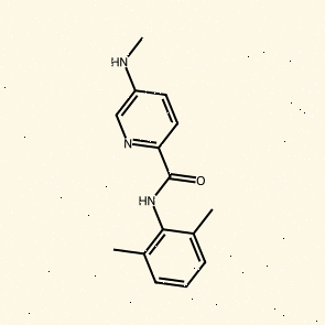 CNc1ccc(C(=O)Nc2c(C)cccc2C)nc1